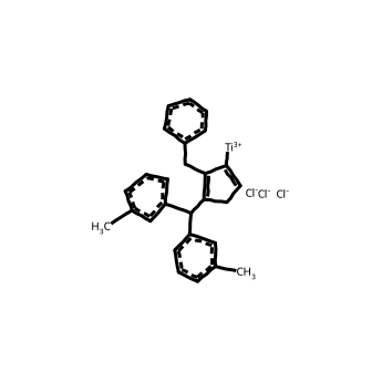 Cc1cccc(C(C2=C(Cc3ccccc3)[C]([Ti+3])=CC2)c2cccc(C)c2)c1.[Cl-].[Cl-].[Cl-]